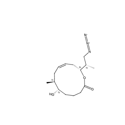 C[C@H]1CC=CC[C@H]([C@@H](C)CN=[N+]=[N-])OC(=O)CCC[C@@H]1O